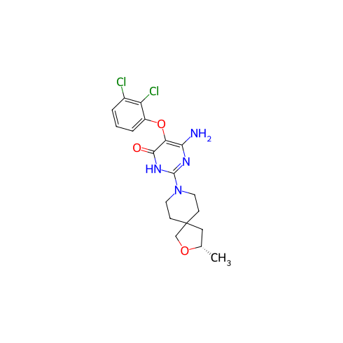 C[C@H]1CC2(CCN(c3nc(N)c(Oc4cccc(Cl)c4Cl)c(=O)[nH]3)CC2)CO1